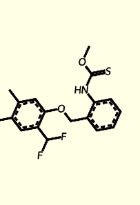 COC(=S)Nc1ccccc1COc1cc(C)c(C)cc1C(F)F